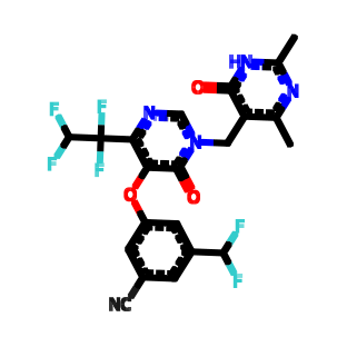 Cc1nc(C)c(Cn2cnc(C(F)(F)C(F)F)c(Oc3cc(C#N)cc(C(F)F)c3)c2=O)c(=O)[nH]1